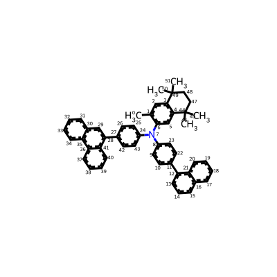 Cc1cc2c(cc1N(c1ccc(-c3cccc4ccccc34)cc1)c1ccc(-c3cc4ccccc4c4ccccc34)cc1)C(C)(C)CCC2(C)C